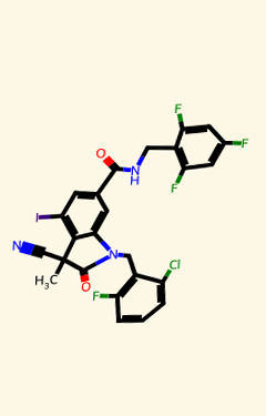 CC1(C#N)C(=O)N(Cc2c(F)cccc2Cl)c2cc(C(=O)NCc3c(F)cc(F)cc3F)cc(I)c21